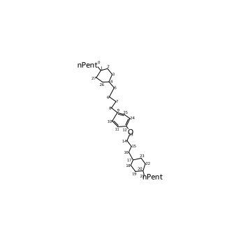 CCCCCC1CCC(CCCCc2ccc(OCCCC3CCC(CCCCC)CC3)cc2)CC1